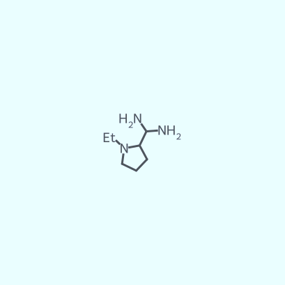 CCN1CCCC1C(N)N